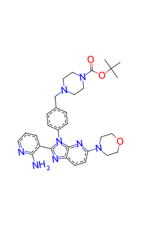 CC(C)(C)OC(=O)N1CCN(Cc2ccc(-n3c(-c4cccnc4N)nc4ccc(N5CCOCC5)nc43)cc2)CC1